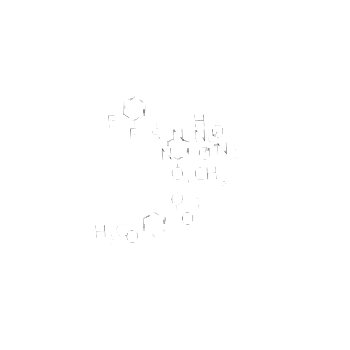 COc1ccc(C2OCC[C@H]([C@@H](C)Oc3cc(NS(=O)(=O)N4CCC4)nc(SCc4cccc(F)c4F)n3)O2)cc1